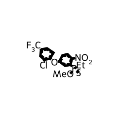 CCP(=S)(OC)c1cc(Oc2ccc(C(F)(F)F)cc2Cl)ccc1[N+](=O)[O-]